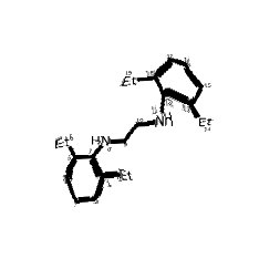 CCc1cccc(CC)c1NCCNc1c(CC)cccc1CC